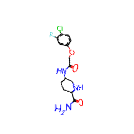 NC(=O)C1CCC(NC(=O)COc2ccc(Cl)c(F)c2)CN1